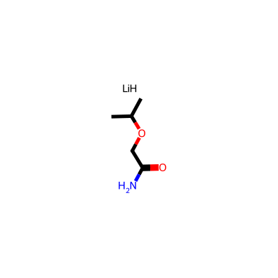 CC(C)OCC(N)=O.[LiH]